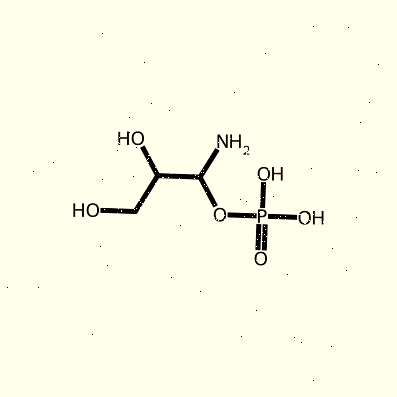 NC(OP(=O)(O)O)C(O)CO